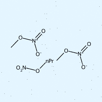 CCCO[N+](=O)[O-].CO[N+](=O)[O-].CO[N+](=O)[O-]